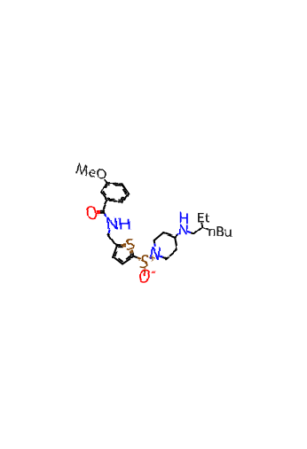 CCCCC(CC)CNC1CCN([S+]([O-])c2ccc(CNC(=O)c3cccc(OC)c3)s2)CC1